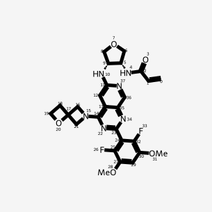 C=CC(=O)N[C@H]1COC[C@H]1Nc1cc2c(N3CC4(CCO4)C3)nc(-c3c(F)c(OC)cc(OC)c3F)nc2cn1